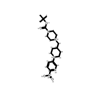 CC(C)(C)OC(=O)N1CCN(CC2CCN(c3ccc([N+](=O)[O-])nc3)CC2)CC1